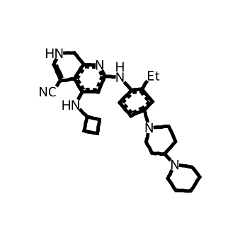 CCc1cc(N2CCC(N3CCCCC3)CC2)ccc1Nc1cc(NC2CCC2)c2c(n1)CNC=C2C#N